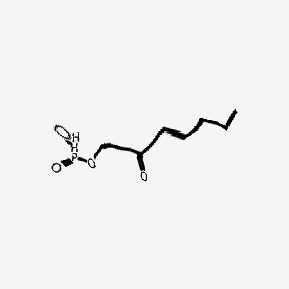 CCCCCC(=O)CO[PH](=O)O